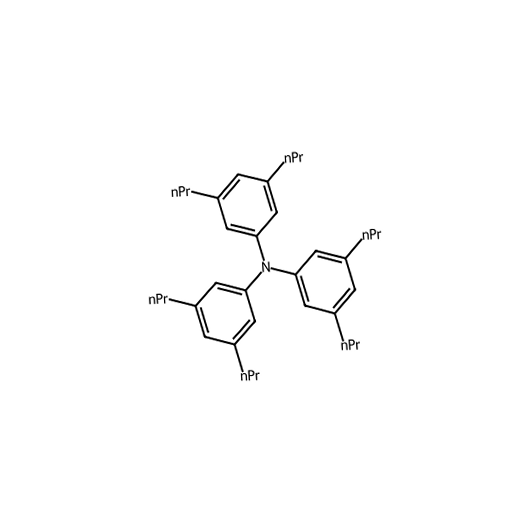 CCCc1cc(CCC)cc(N(c2cc(CCC)cc(CCC)c2)c2cc(CCC)cc(CCC)c2)c1